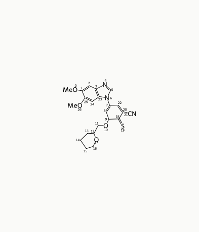 COc1cc2ncn(C3=CC(OCC4CCCCO4)C(=S)C(C#N)=C3)c2cc1OC